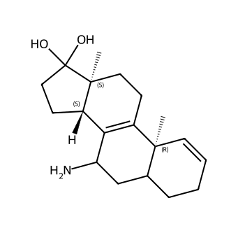 C[C@]12CCC3=C(C(N)CC4CCC=C[C@]34C)[C@@H]1CCC2(O)O